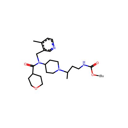 Cc1ccncc1CN(C(=O)C1CCOCC1)C1CCN(C(C)CCNC(=O)OC(C)(C)C)CC1